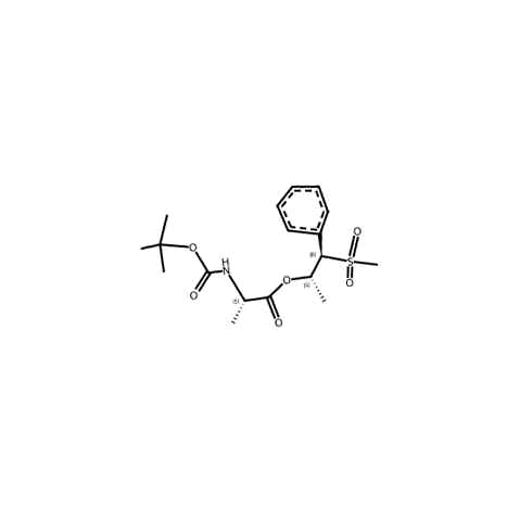 C[C@H](NC(=O)OC(C)(C)C)C(=O)O[C@@H](C)[C@@H](c1ccccc1)S(C)(=O)=O